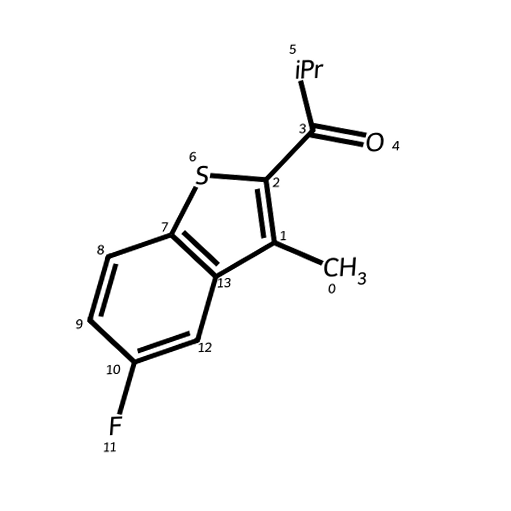 Cc1c(C(=O)C(C)C)sc2ccc(F)cc12